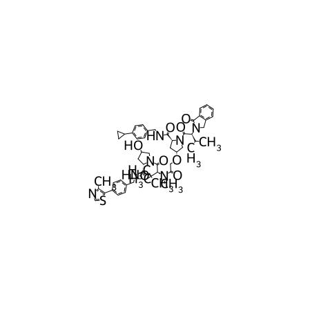 Cc1ncsc1-c1ccc(CNC(=O)[C@@H]2C[C@@H](O)CN2C(=O)[C@@H](N(C)C(=O)CO[C@@H]2C[C@@H](C(=O)NCc3ccc(C4CC4)cc3)N(C(=O)[C@H](C(C)C)N3Cc4ccccc4C3=O)C2)C(C)(C)C)cc1